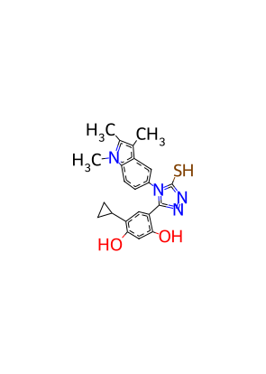 Cc1c(C)n(C)c2ccc(-n3c(S)nnc3-c3cc(C4CC4)c(O)cc3O)cc12